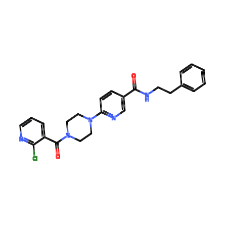 O=C(NCCc1ccccc1)c1ccc(N2CCN(C(=O)c3cccnc3Cl)CC2)nc1